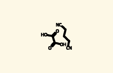 N#CCCCC#N.O=C(O)C(=O)O